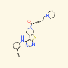 C#Cc1cccc(Nc2ncnc3sc4c(c23)CCN(C(=O)C#CCCN2CCCCC2)C4)c1